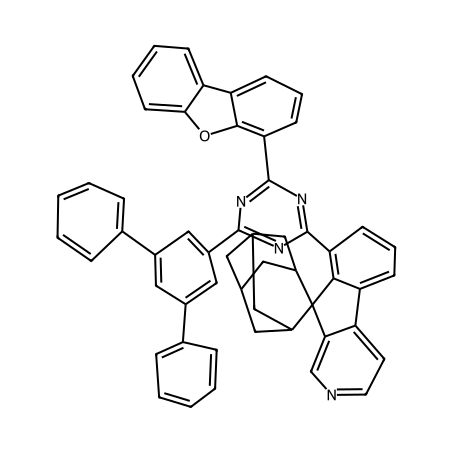 c1ccc(-c2cc(-c3ccccc3)cc(-c3nc(-c4cccc5c4C4(c6cnccc6-5)C5CC6CC(C5)CC4C6)nc(-c4cccc5c4oc4ccccc45)n3)c2)cc1